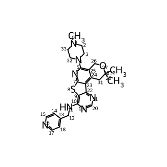 CN1CCN(c2nc3sc4c(NCc5ccncc5)ncnc4c3c3c2COC(C)(C)C3)CC1